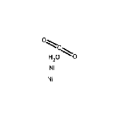 O.O=C=O.[Ni].[Ni]